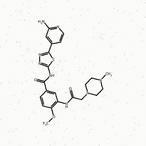 CN1CCN(CC(=O)Nc2cc(C(=O)Nc3nnc(-c4ccnc(N)c4)s3)ccc2OC(F)(F)F)CC1